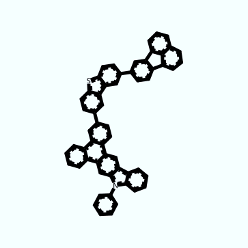 c1ccc(-n2c3ccccc3c3cc4c5ccc(-c6ccc7sc8ccc(-c9ccc%10c(c9)-c9cccc%11cccc-%10c9%11)cc8c7c6)cc5c5ccccc5c4cc32)cc1